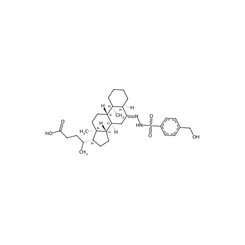 CC(CCC(=O)O)[C@H]1CC[C@H]2[C@@H]3CC(=NNS(=O)(=O)c4ccc(CO)cc4)[C@@H]4CCCC[C@]4(C)[C@H]3CC[C@]12C